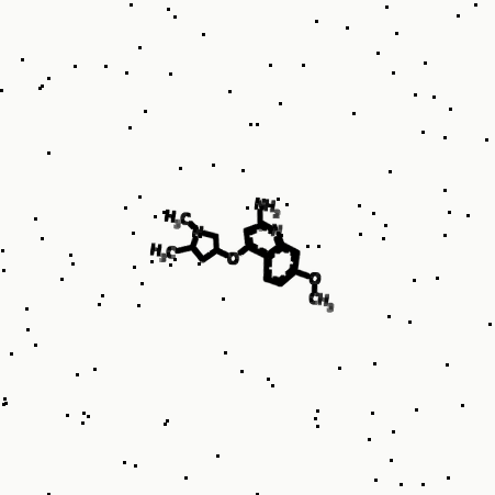 COc1ccc2c(OC3CC(C)N(C)C3)cc(N)nc2c1